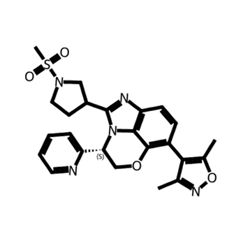 Cc1noc(C)c1-c1ccc2nc(C3CCN(S(C)(=O)=O)C3)n3c2c1OC[C@@H]3c1ccccn1